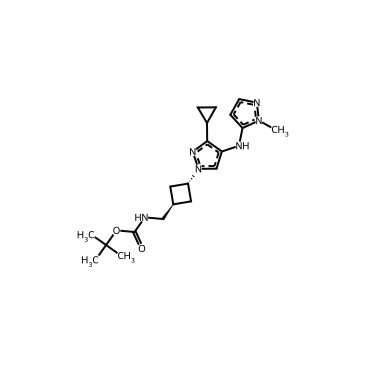 Cn1nccc1Nc1cn([C@H]2C[C@H](CNC(=O)OC(C)(C)C)C2)nc1C1CC1